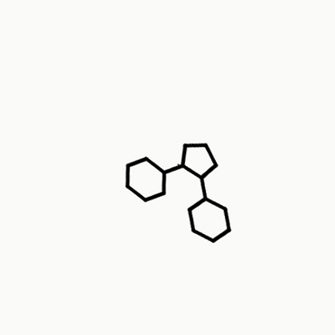 C1CCC([C]2CCCC2C2CCCCC2)CC1